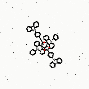 c1ccc(N2c3ccccc3C3(c4ccccc42)c2cc(-c4ccc(-n5c6ccccc6c6ccccc65)cc4)oc2C2(c4ccccc4N(c4ccccc4)c4ccccc42)c2cc(-c4ccc(-n5c6ccccc6c6ccccc65)cc4)oc23)cc1